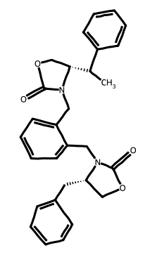 CC(c1ccccc1)[C@H]1COC(=O)N1Cc1ccccc1CN1C(=O)OC[C@@H]1Cc1ccccc1